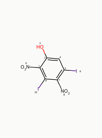 O=[N+]([O-])c1c(O)cc(I)c([N+](=O)[O-])c1I